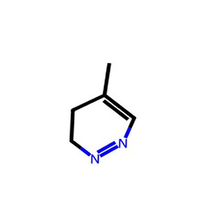 CC1=CN=NCC1